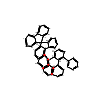 c1ccc(-c2ccccc2-c2c(-c3ccccc3)cccc2N(c2ccccc2)c2cccc3c2-c2ccccc2C32c3ccccc3-c3ccccc32)cc1